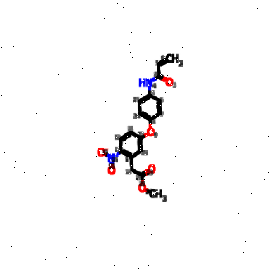 C=CC(=O)Nc1ccc(Oc2ccc([N+](=O)[O-])c(CC(=O)OC)c2)cc1